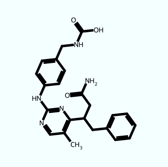 Cc1cnc(Nc2ccc(CNC(=O)O)cc2)nc1C(CC(N)=O)Cc1ccccc1